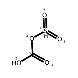 O=C(O)O[SH](=O)=O